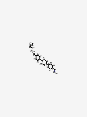 C/C=C/c1ccc(C2CCC(c3ccc(COCC=CCC)cc3)CC2)cc1